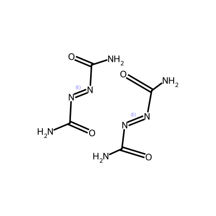 NC(=O)/N=N/C(N)=O.NC(=O)/N=N/C(N)=O